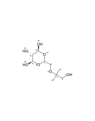 CC(C)(CO)OCC1O[C@@H](O)[C@H](O)[C@@H](O)O1